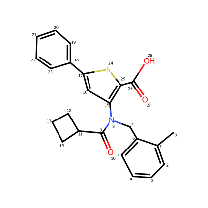 Cc1ccccc1CN(C(=O)C1CCC1)c1cc(-c2ccccc2)sc1C(=O)O